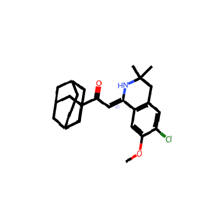 COc1cc2c(cc1Cl)CC(C)(C)N/C2=C\C(=O)C12CC3CC(CC(C3)C1)C2